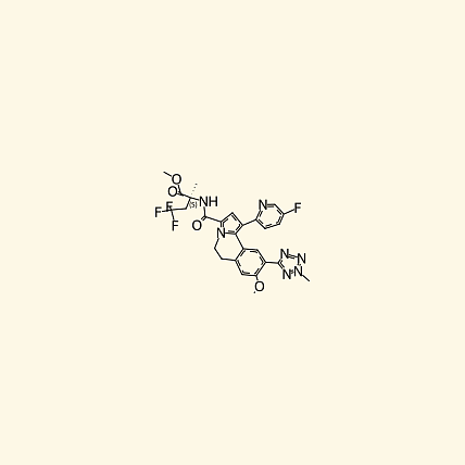 COC(=O)[C@](C)(CC(F)(F)F)NC(=O)c1cc(-c2ccc(F)cn2)c2n1CCc1cc(OC)c(-c3nnn(C)n3)cc1-2